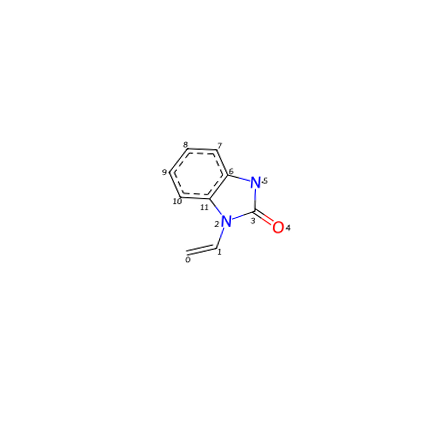 C=CN1C(=O)[N]c2ccccc21